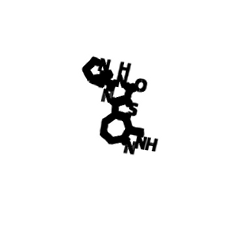 O=c1[nH]c(C2C3CCN2CC3)nc2c3c(sc12)-c1c[nH]nc1CCC3